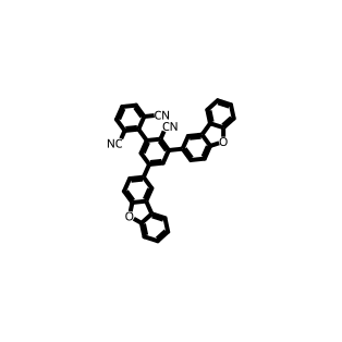 N#Cc1cccc(C#N)c1-c1cc(-c2ccc3oc4ccccc4c3c2)cc(-c2ccc3oc4ccccc4c3c2)c1C#N